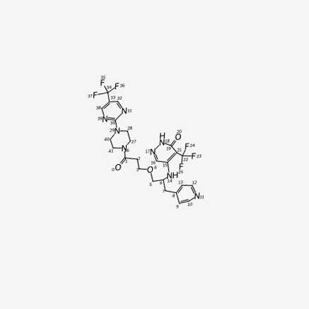 O=C(CCOCC(Cc1ccncc1)Nc1cn[nH]c(=O)c1C(F)(F)F)N1CCN(c2ncc(C(F)(F)F)cn2)CC1